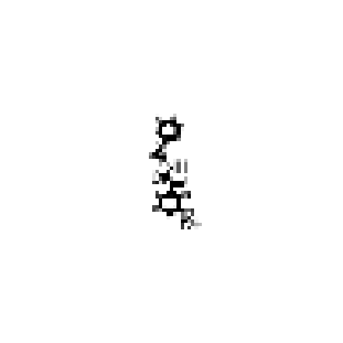 O=C(NC1CC1c1ccccc1)c1csc2c1CCCC2=NO